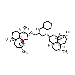 C[C@H]1[C@@H](OCC(CO[C@@H]2C[C@@H]3CC[C@@H](C)[C@@H]4CC[C@@]5(C)OO[C@@]34[C@H](O2)O5)NC2CCCCC2)O[C@@H]2O[C@@]3(C)CC[C@H]4[C@H](C)CC[C@@H]1[C@@]24OO3